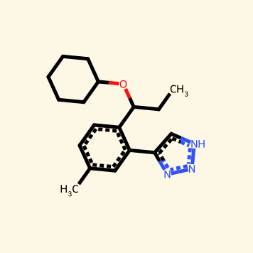 CCC(OC1CCCCC1)c1ccc(C)cc1-c1c[nH]nn1